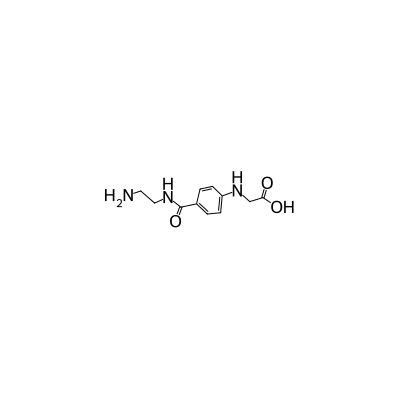 NCCNC(=O)c1ccc(NCC(=O)O)cc1